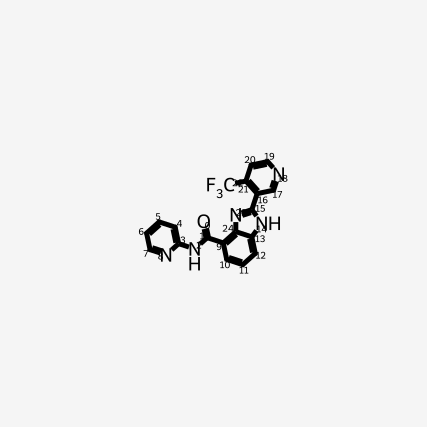 O=C(Nc1ccccn1)c1cccc2[nH]c(-c3cnccc3C(F)(F)F)nc12